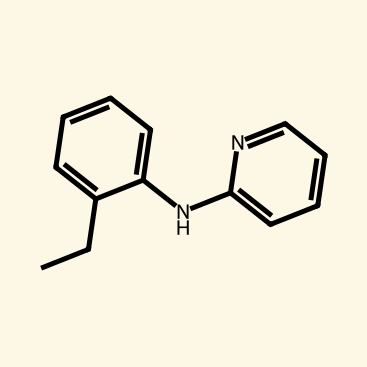 CCc1ccccc1Nc1ccccn1